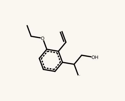 [CH2]C(CO)c1cccc(OCC)c1C=C